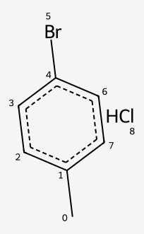 Cc1ccc(Br)cc1.Cl